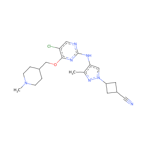 Cc1nn(C2CC(C#N)C2)cc1Nc1ncc(Cl)c(OCC2CCN(C)CC2)n1